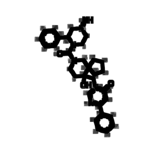 N=S1CCN(C(=O)N2CCC(O)(Cn3cnc(-c4ccccc4)cc3=O)C3(CCCC3)C2)C(c2ccccc2)C1